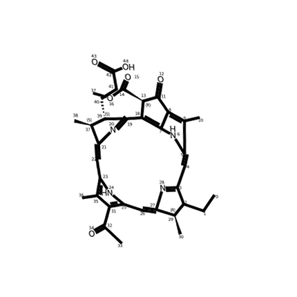 CCC1c2cc3[nH]c4c(c3C)C(=O)[C@H](C(=O)OC)c4c3nc(cc4[nH]c(cc(n2)[C@@H]1C)c(C(C)=O)c4C)[C@@H](C)[C@@H]3CCC(=O)O